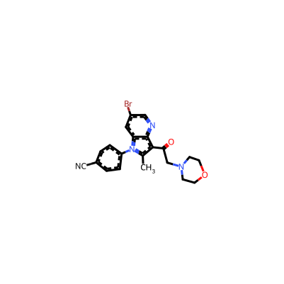 Cc1c(C(=O)CN2CCOCC2)c2ncc(Br)cc2n1-c1ccc(C#N)cc1